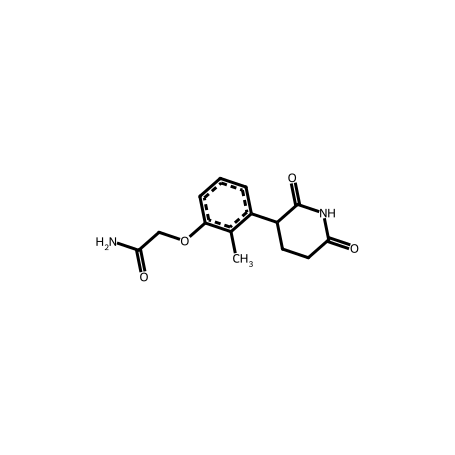 Cc1c(OCC(N)=O)cccc1C1CCC(=O)NC1=O